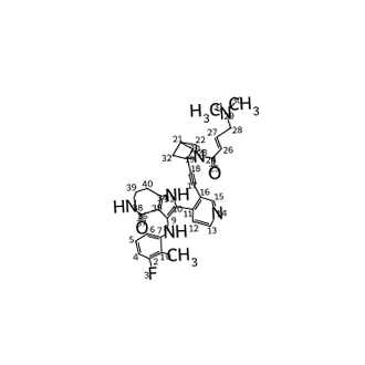 Cc1c(F)cccc1Nc1c(-c2ccncc2C#CC23CC(CN2C(=O)/C=C/CN(C)C)C3)[nH]c2c1C(=O)NCC2